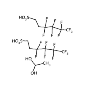 CC(O)O.O=S(=O)(O)CCC(F)(F)C(F)(F)C(F)(F)C(F)(F)F.O=S(=O)(O)CCC(F)(F)C(F)(F)C(F)(F)C(F)(F)F